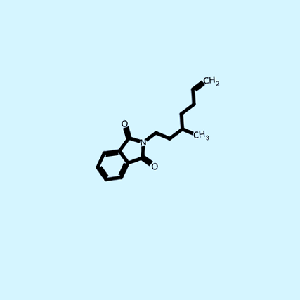 C=CCCC(C)CCN1C(=O)c2ccccc2C1=O